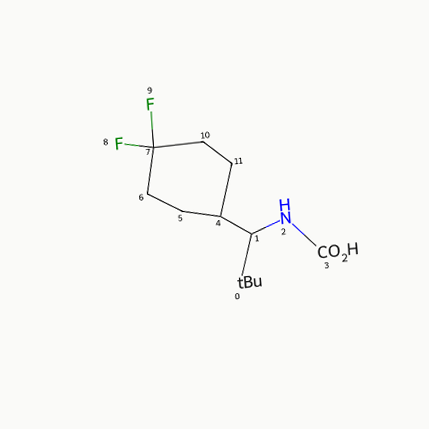 CC(C)(C)C(NC(=O)O)C1CCC(F)(F)CC1